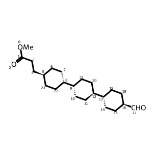 COC(=O)CC[C@H]1CC[C@H]([C@H]2CC[C@H]([C@H]3CC[C@H](C=O)CC3)CC2)CC1